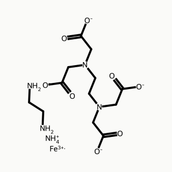 NCCN.O=C([O-])CN(CCN(CC(=O)[O-])CC(=O)[O-])CC(=O)[O-].[Fe+3].[NH4+]